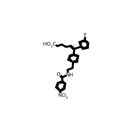 O=C(O)CCC/C=C(\c1ccc(CCNC(=O)c2ccc([N+](=O)[O-])cc2)cc1)c1cccc(F)c1